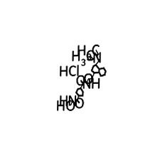 CCN(CC)Cc1ccc(CONC(=O)c2ccc(C(=O)NO)cc2)c2ccccc12.Cl